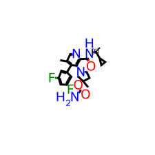 Cc1cnc(C(=O)N[C@@H](C)C2CC2)c(N2CCC(C)(OC(N)=O)C2)c1-c1cc(F)cc(F)c1